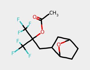 CC(=O)OC(CC1CC2CCC1O2)(C(F)(F)F)C(F)(F)F